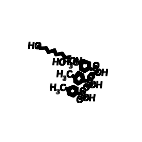 Cc1ccc(S(=O)(=O)O)cc1.Cc1ccc(S(=O)(=O)O)cc1.Cc1ccc(S(=O)(=O)O)cc1.OCCCCCCC(O)CO